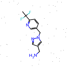 CC(F)(F)c1ccc(Cn2cc(CN)cn2)cn1